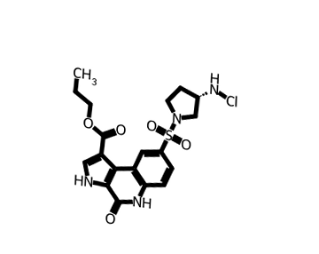 CCCOC(=O)c1c[nH]c2c(=O)[nH]c3ccc(S(=O)(=O)N4CC[C@H](NCl)C4)cc3c12